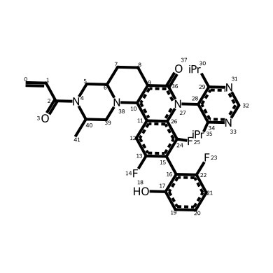 C=CC(=O)N1CC2CCc3c(c4cc(F)c(-c5c(O)cccc5F)c(F)c4n(-c4c(C(C)C)ncnc4C(C)C)c3=O)N2CC1C